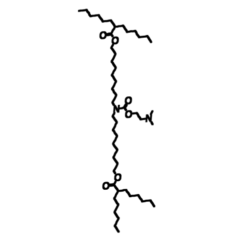 CCCCCCC(CCCCCC)C(=O)OCCCCCCCCCN(CCCCCCCCCOC(=O)C(CCCCCC)CCCCCC)C(=O)OCCN(C)C